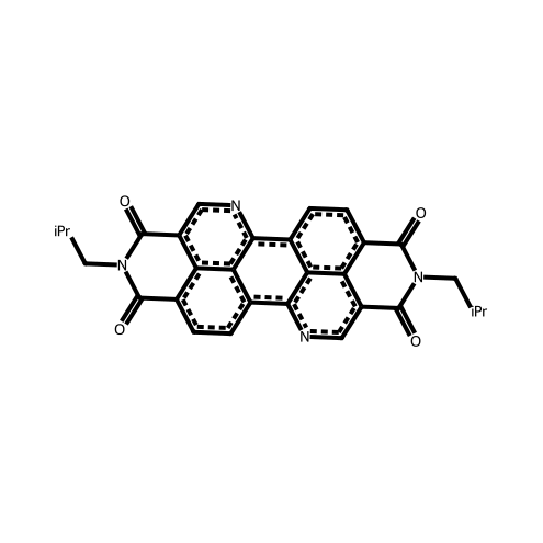 CC(C)CN1C(=O)c2ccc3c4ncc5c6c(ccc(c7ncc(c2c37)C1=O)c64)C(=O)N(CC(C)C)C5=O